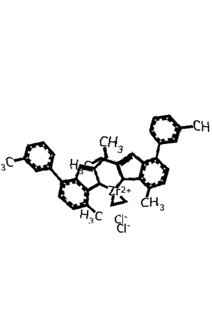 CCC1=Cc2c(-c3cccc(C)c3)ccc(C)c2[CH]1[Zr+2]1([CH]2C(CC)=Cc3c(-c4cccc(C)c4)ccc(C)c32)[CH2][CH2]1.[Cl-].[Cl-]